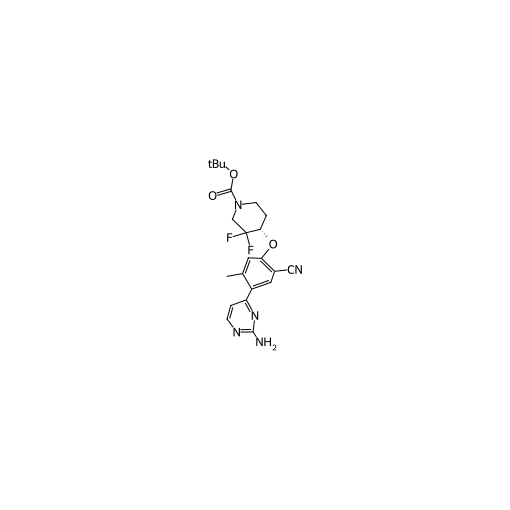 Cc1cc(O[C@H]2CCN(C(=O)OC(C)(C)C)CC2(F)F)c(C#N)cc1-c1ccnc(N)n1